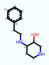 OC1CNCCC1NCCc1ccccc1